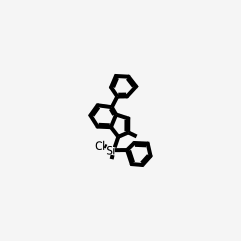 CC1=Cc2c(-c3ccccc3)cccc2C1[Si](C)(Cl)c1ccccc1